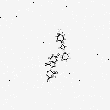 O=C1CCC(N2Cc3cc(O[C@H]4CCCC[C@H]4N4CC(c5ccc(C(F)(F)F)cc5)C4)ccc3C2=O)C(=O)N1